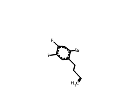 C=CCCc1cc(F)c(F)cc1Br